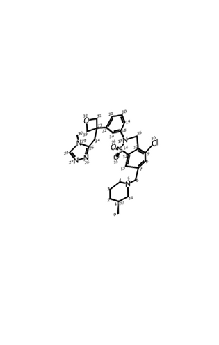 C[C@H]1CCCN(Cc2cc(Cl)c3c(c2)S(=O)(=O)N(c2cccc(C4(Cc5nncn5C)COC4)c2)C3)C1